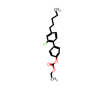 CCCCCc1ccc(-c2ccc(OC(=O)OCC)cc2)c(F)c1